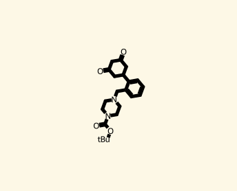 CC(C)(C)OC(=O)N1CCN(Cc2ccccc2C2CC(=O)CC(=O)C2)CC1